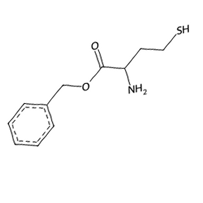 NC(CCS)C(=O)OCc1ccccc1